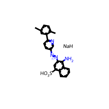 Cc1ccc(C)c(-c2ccc(/N=N/c3cc(S(=O)(=O)O)c4ccccc4c3N)cn2)c1.[NaH]